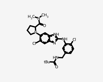 CN(C)C(=O)C1CCCN1c1cc2[nH]c(Nc3cc(CNC(=O)C(C)(C)C)ccc3Cl)nc2cc1Cl